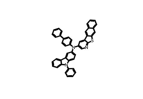 c1ccc(-c2ccc(N(c3cnc4sc5cc6ccccc6cc5c4c3)c3ccc4c(c3)c3ccccc3n4-c3ccccc3)cc2)cc1